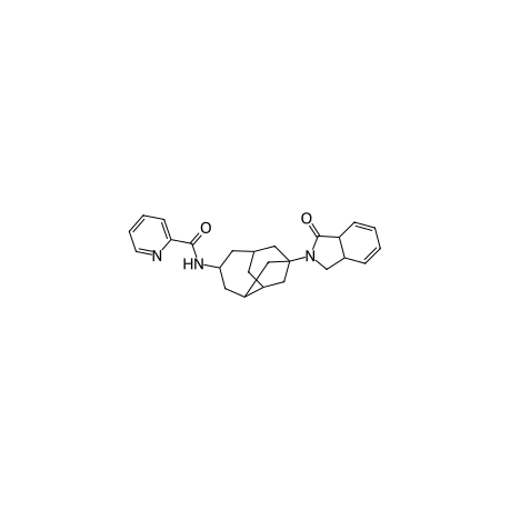 O=C(NC1CC2CC3CC(N4CC5C=CC=CC5C4=O)(C2)CC3C1)c1ccccn1